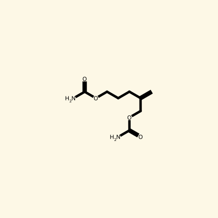 C=C(CCCOC(N)=O)COC(N)=O